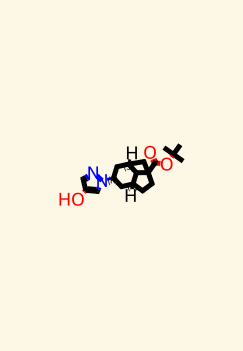 CC(C)(C)OC(=O)C12CC[C@@H]3C[C@@H](n4cc(O)cn4)C[C@H](C1)C32